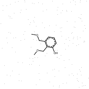 COCc1cccc(O)c1COC